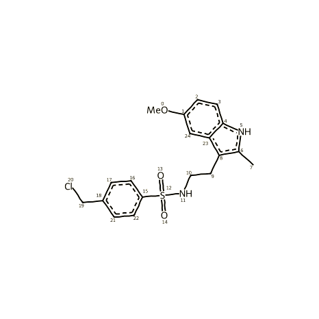 COc1ccc2[nH]c(C)c(CCNS(=O)(=O)c3ccc(CCl)cc3)c2c1